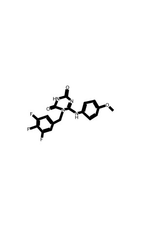 COc1ccc(Nc2nc(=O)[nH]c(=O)n2Cc2cc(F)c(F)c(F)c2)cc1